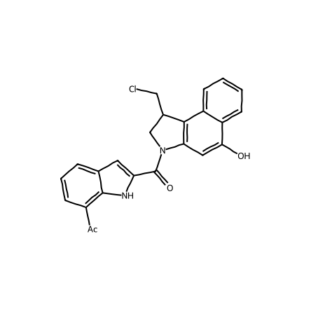 CC(=O)c1cccc2cc(C(=O)N3CC(CCl)c4c3cc(O)c3ccccc43)[nH]c12